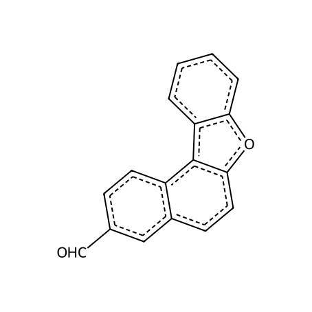 O=Cc1ccc2c(ccc3oc4ccccc4c32)c1